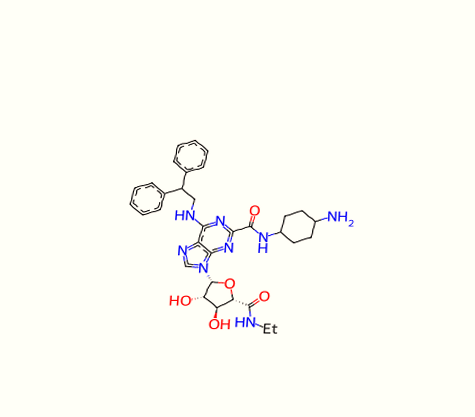 CCNC(=O)[C@H]1O[C@@H](n2cnc3c(NCC(c4ccccc4)c4ccccc4)nc(C(=O)NC4CCC(N)CC4)nc32)[C@@H](O)[C@@H]1O